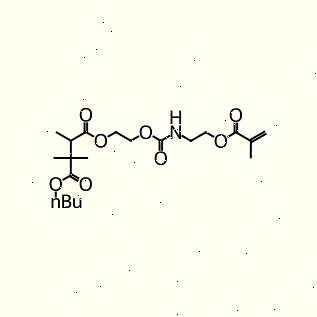 C=C(C)C(=O)OCCNC(=O)OCCOC(=O)C(C)C(C)(C)C(=O)OCCCC